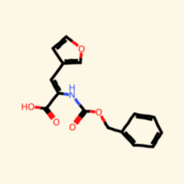 O=C(N/C(=C\c1ccoc1)C(=O)O)OCc1ccccc1